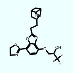 N=C1C2CC(CCc3nc4c(OCC(O)C(F)(F)F)ccc(C5=NCCS5)c4o3)CC1C2